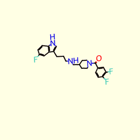 O=C(c1ccc(F)c(F)c1)N1CCC(CNCCCc2c[nH]c3ccc(F)cc23)CC1